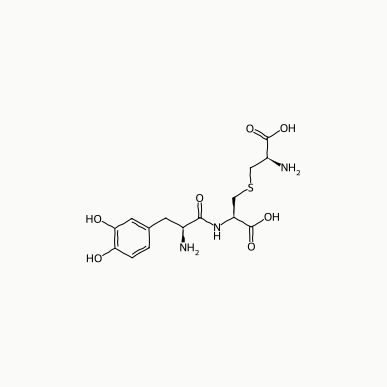 N[C@@H](CSC[C@H](NC(=O)[C@@H](N)Cc1ccc(O)c(O)c1)C(=O)O)C(=O)O